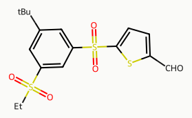 CCS(=O)(=O)c1cc(C(C)(C)C)cc(S(=O)(=O)c2ccc(C=O)s2)c1